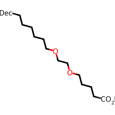 CCCCCCCCCCCCCCCCOCCOCCCCC(=O)O